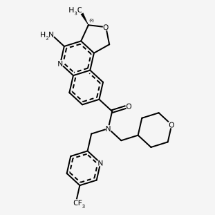 C[C@H]1OCc2c1c(N)nc1ccc(C(=O)N(Cc3ccc(C(F)(F)F)cn3)CC3CCOCC3)cc21